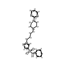 O=S(=O)(Nc1ccccc1)c1cnn(CCCCN2CCN(c3ncccn3)CC2)c1